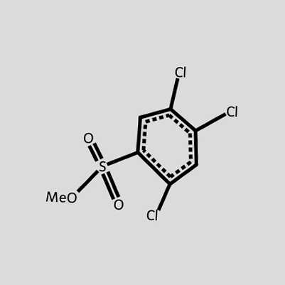 [CH2]OS(=O)(=O)c1cc(Cl)c(Cl)cc1Cl